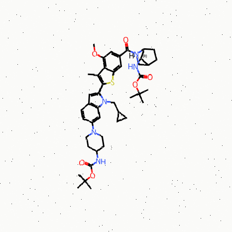 COc1cc(C(=O)N2CC3CCC2[C@@H]3NC(=O)OC(C)(C)C)cc2sc(-c3cc4ccc(N5CCC(NC(=O)OC(C)(C)C)CC5)cc4n3CC3CC3)c(C)c12